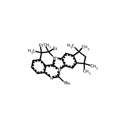 CCC1(C)c2cccc3nc(C(C)(C)C)n4c5cc6c(cc5[n+](c4c23)C1(C)CC)C(C)(C)CC6(C)C